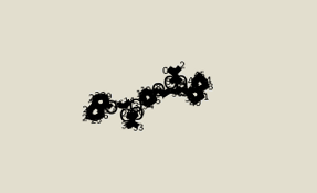 C=C(C)C(=O)OC(COc1ccc(OCC(COc2cccc3ccccc23)OC(=O)C(=C)C)cc1)COc1cccc2ccccc12